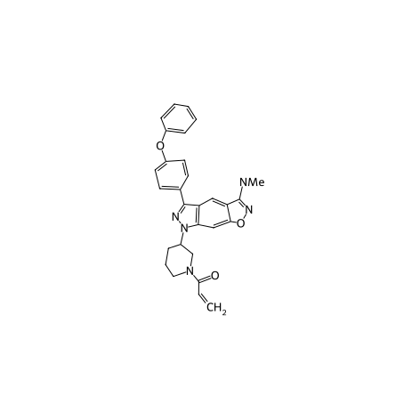 C=CC(=O)N1CCCC(n2nc(-c3ccc(Oc4ccccc4)cc3)c3cc4c(NC)noc4cc32)C1